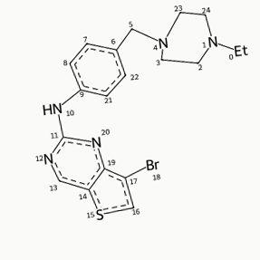 CCN1CCN(Cc2ccc(Nc3ncc4scc(Br)c4n3)cc2)CC1